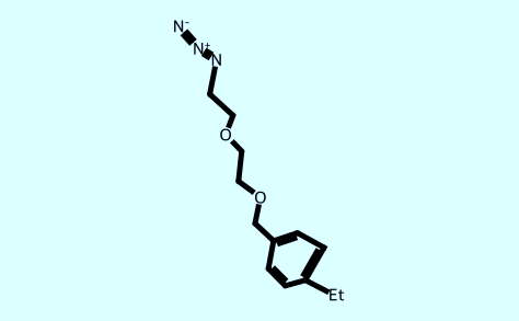 CCc1ccc(COCCOCCN=[N+]=[N-])cc1